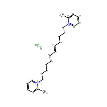 Cc1cccc[n+]1CCCCC=CC=CCCCC[n+]1ccccc1C.[Br-].[Br-]